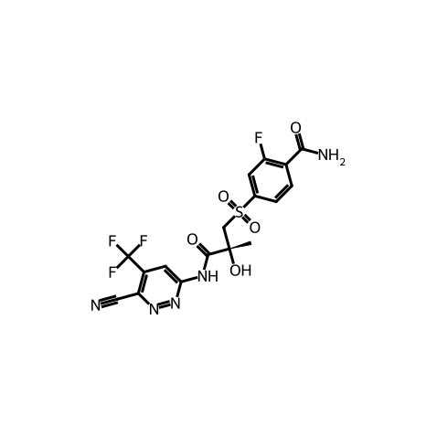 C[C@](O)(CS(=O)(=O)c1ccc(C(N)=O)c(F)c1)C(=O)Nc1cc(C(F)(F)F)c(C#N)nn1